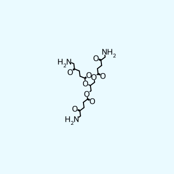 NCC(=O)CCC(=O)OCC(COC(=O)CCC(=O)CN)OC(=O)CCC(=O)CN